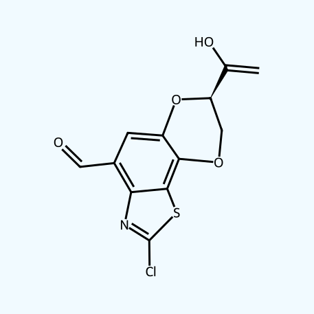 C=C(O)[C@H]1COc2c(cc(C=O)c3nc(Cl)sc23)O1